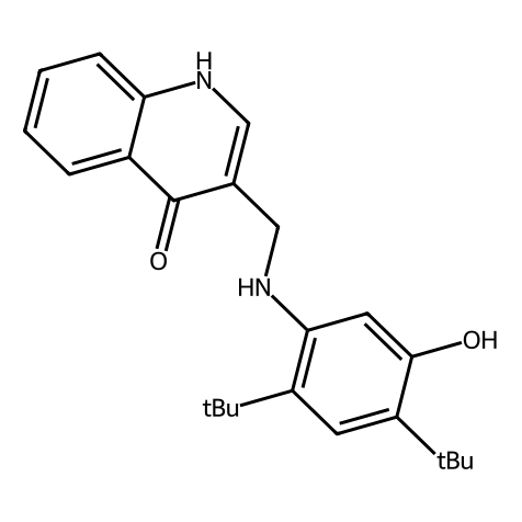 CC(C)(C)c1cc(C(C)(C)C)c(NCc2c[nH]c3ccccc3c2=O)cc1O